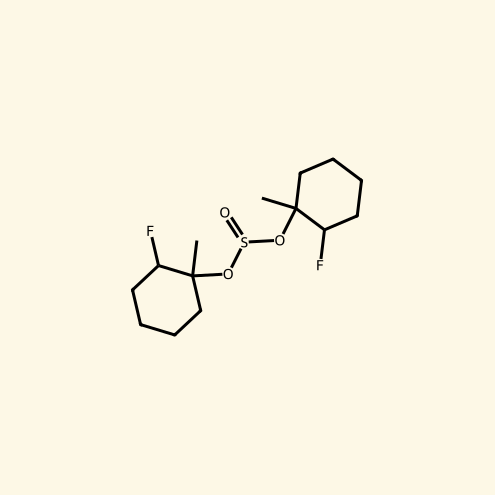 CC1(OS(=O)OC2(C)CCCCC2F)CCCCC1F